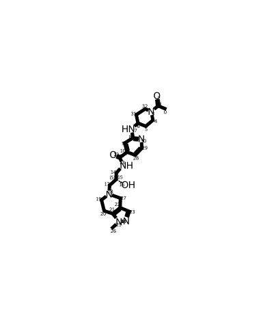 CC(=O)N1CCC(Nc2cc(C(=O)NC[C@H](O)CN3CCc4c(cnn4C)C3)ccn2)CC1